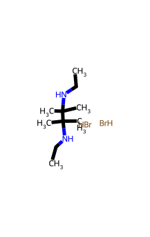 Br.Br.CCNC(C)(C)C(C)(C)NCC